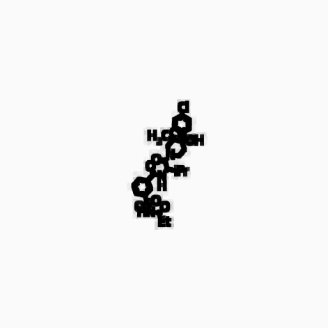 CCC(=O)NS(=O)(=O)c1cccc(C(=O)NC(C(=O)N2CCC(O)(c3ccc(Cl)cc3)C(C)(C)C2)C(C)C)c1